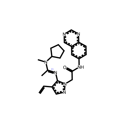 C=Cc1cnn(CC(=O)Nc2ccc3ncncc3c2)c1/N=C(\C)N(C)C1CCCC1